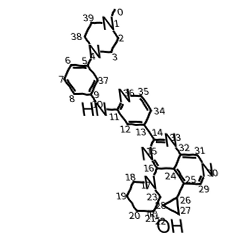 CN1CCN(c2cccc(Nc3cc(-c4nc(N5CCC[C@@H](O)C5)c5c(C6CC6)cncc5n4)ccn3)c2)CC1